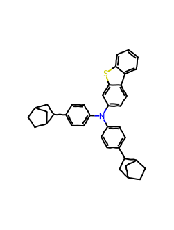 c1ccc2c(c1)sc1cc(N(c3ccc(C4CC5CCC4C5)cc3)c3ccc(C4CC5CCC4C5)cc3)ccc12